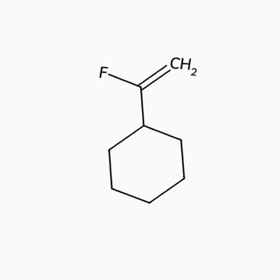 C=C(F)C1CCCCC1